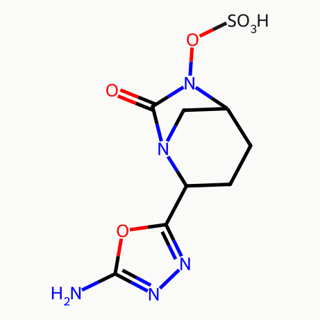 Nc1nnc(C2CCC3CN2C(=O)N3OS(=O)(=O)O)o1